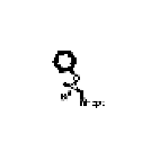 CCCCCCCC[Si](C)(Br)Oc1ccccc1